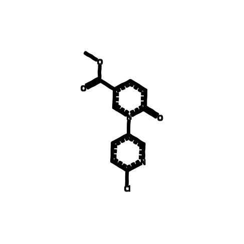 COC(=O)c1ccc(=O)n(-c2ccc(Cl)nc2)c1